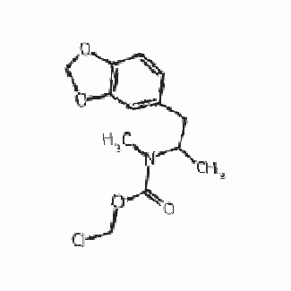 CC(Cc1ccc2c(c1)OCO2)N(C)C(=O)OCCl